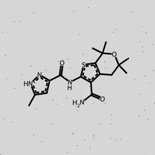 Cc1cc(C(=O)Nc2sc3c(c2C(N)=O)CC(C)(C)OC3(C)C)n[nH]1